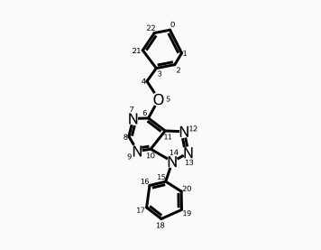 c1ccc(COc2ncnc3c2nnn3-c2ccccc2)cc1